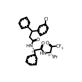 CC(C)[C@H](NC(=O)[C@@H](NC(=O)CC(c1ccccc1)c1cccc(Cl)c1)c1ccccc1)C(=O)C(F)(F)F